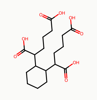 O=C(O)CCCC(C(=O)O)C1CCCCC1C(CCCC(=O)O)C(=O)O